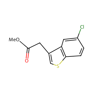 COC(=O)Cc1csc2ccc(Cl)cc12